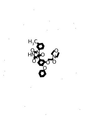 Cc1cccc(-n2c(=O)[nH]c(=O)n(-c3ccc(Oc4ccccc4)c(OCC(=O)N4CCOCC4)c3)c2=O)c1